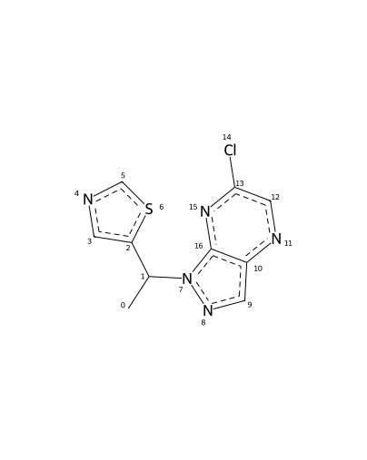 CC(c1cncs1)n1ncc2ncc(Cl)nc21